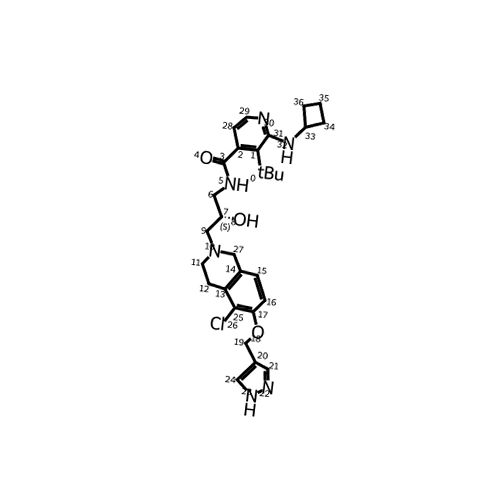 CC(C)(C)c1c(C(=O)NC[C@H](O)CN2CCc3c(ccc(OCc4cn[nH]c4)c3Cl)C2)ccnc1NC1CCC1